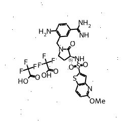 COc1ccc2sc(S(=O)(=O)N[C@H]3CCN(Cc4cc(C(=N)N)ccc4N)C3=O)cc2n1.O=C(O)C(F)(F)F.O=C(O)C(F)(F)F